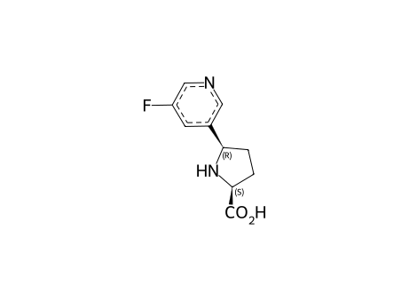 O=C(O)[C@@H]1CC[C@H](c2cncc(F)c2)N1